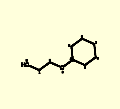 OCCO[C]1CCCCC1